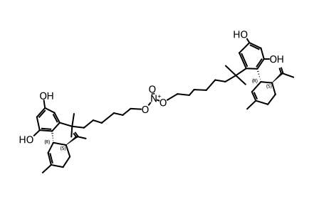 C=C(C)[C@H]1CCC(C)=C[C@@H]1c1c(O)cc(O)cc1C(C)(C)CCCCCCO[N+](=O)OCCCCCCC(C)(C)c1cc(O)cc(O)c1[C@H]1C=C(C)CC[C@@H]1C(=C)C